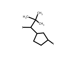 CC(C)(C)C(I)C1CCC(I)C1